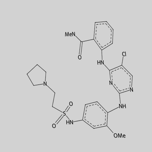 CNC(=O)c1ccccc1Nc1nc(Nc2ccc(NS(=O)(=O)CCN3CCCC3)cc2OC)ncc1Cl